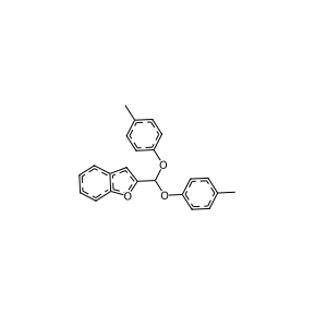 Cc1ccc(OC(Oc2ccc(C)cc2)c2cc3ccccc3o2)cc1